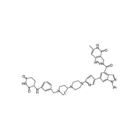 CCCc1cc(C)[nH]c(=O)c1CNC(=O)c1cc(-c2ccc(N3CCN(C4CCN(Cc5cccc(NC6CCC(=O)NC6=O)c5)CC4)CC3)nc2)cc2c1cnn2C(C)C